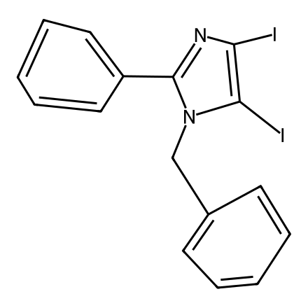 Ic1nc(-c2ccccc2)n(Cc2ccccc2)c1I